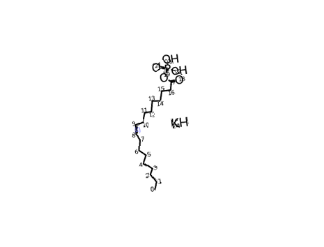 CCCCCCCC/C=C\CCCCCCCC(=O)OP(=O)(O)O.[KH]